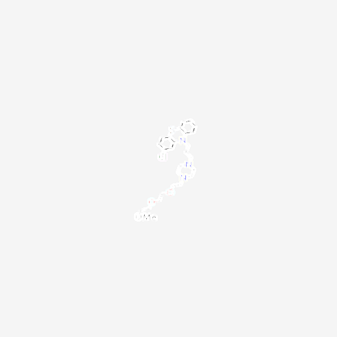 COCCOCCOCCN1CCN(CCCN2c3ccccc3Sc3ccc(Cl)cc32)CC1